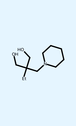 CCC(CO)(CO)CN1CCCCC1